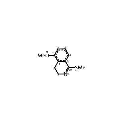 COc1cccc2c1CCN=C2SC